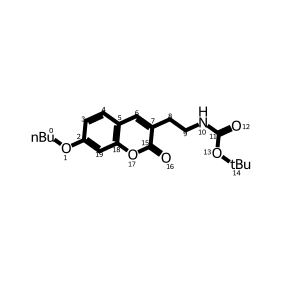 CCCCOc1ccc2cc(CCNC(=O)OC(C)(C)C)c(=O)oc2c1